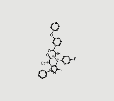 CCN1C(=O)[C@@H](NC(=O)c2cccc(Oc3ccccc3)c2)[C@@H](c2ccc(F)cc2)c2c(C)nn(-c3ccccc3)c21